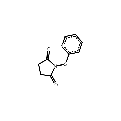 O=C1CCC(=O)N1Sc1ccccn1